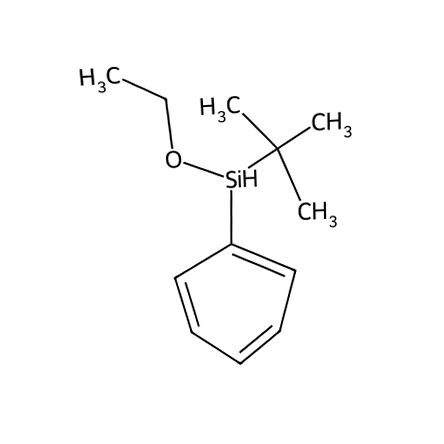 CCO[SiH](c1ccccc1)C(C)(C)C